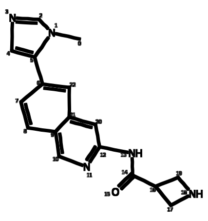 Cn1cncc1-c1ccc2cnc(NC(=O)C3CNC3)cc2c1